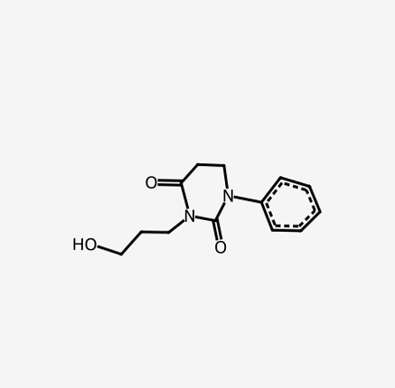 O=C1CCN(c2ccccc2)C(=O)N1CCCO